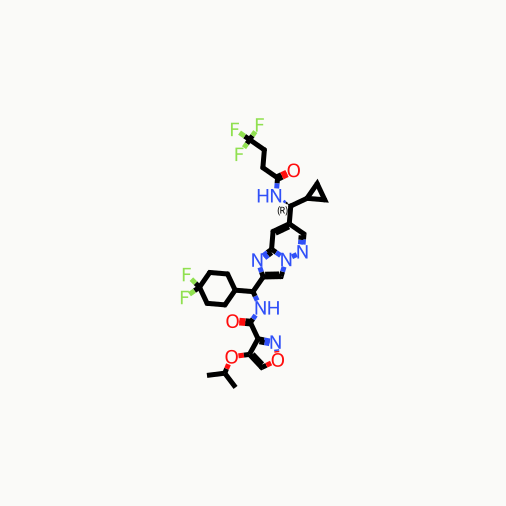 CC(C)Oc1conc1C(=O)NC(c1cn2ncc([C@H](NC(=O)CCC(F)(F)F)C3CC3)cc2n1)C1CCC(F)(F)CC1